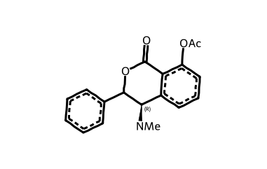 CN[C@@H]1c2cccc(OC(C)=O)c2C(=O)OC1c1ccccc1